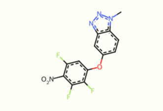 Cn1nnc2cc(Oc3cc(F)c([N+](=O)[O-])c(F)c3F)ccc21